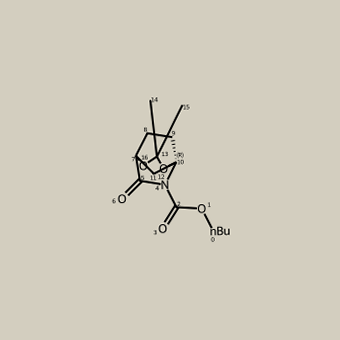 CCCCOC(=O)N1C(=O)C23CC[C@]1(C2)OC(C)(C)O3